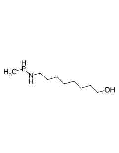 CPNCCCCCCCCO